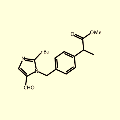 CCCCc1ncc(C=O)n1Cc1ccc(C(C)C(=O)OC)cc1